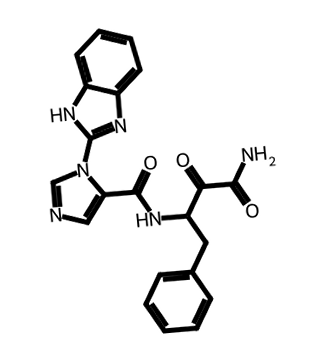 NC(=O)C(=O)C(Cc1ccccc1)NC(=O)c1cncn1-c1nc2ccccc2[nH]1